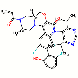 C=CC(=O)N1C[C@@H]2COc3c(c4cc(F)c(-c5c(O)cccc5F)c(F)c4n(-c4c(C(C)C)ncnc4C(C)C)c3=O)N2C[C@H]1C